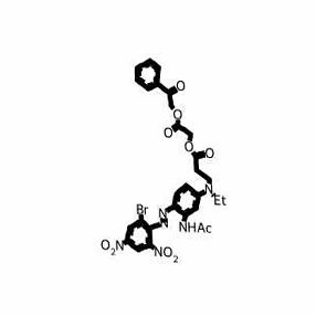 CCN(CCC(=O)OCC(=O)OCC(=O)c1ccccc1)c1ccc(/N=N/c2c(Br)cc([N+](=O)[O-])cc2[N+](=O)[O-])c(NC(C)=O)c1